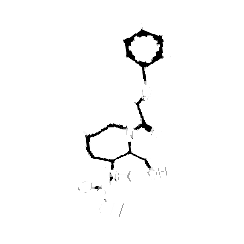 C[S@@+]([O-])NC1CCCN(C(=O)COc2ccccc2)C1CO